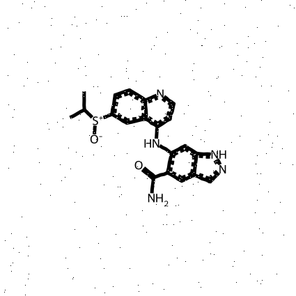 CC(C)[S+]([O-])c1ccc2nccc(Nc3cc4[nH]ncc4cc3C(N)=O)c2c1